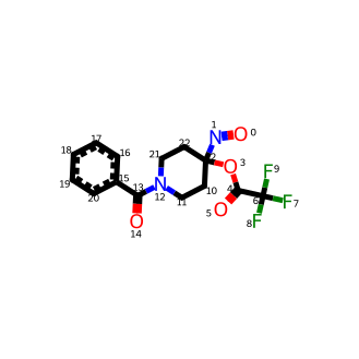 O=NC1(OC(=O)C(F)(F)F)CCN(C(=O)c2ccccc2)CC1